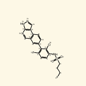 O=S(=O)(CCCF)Nc1ccc(F)c(-c2ccc3c(cnc4[nH]ncc43)c2)c1Cl